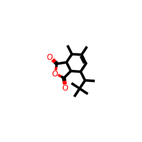 CC1=CC(C(C)C(C)(C)C)C2C(=O)OC(=O)C2C1C